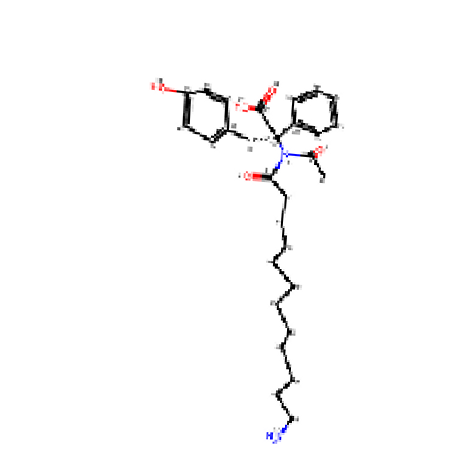 CC(=O)N(C(=O)CCCCCCCCCCCN)[C@@](Cc1ccc(O)cc1)(C(=O)O)c1ccccc1